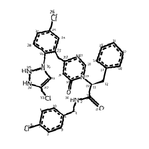 O=C(NCc1ccc(Cl)cc1)[C@H](Cc1ccccc1)n1cnc(-c2cc(Cl)ccc2N2C=C(Cl)NN2)cc1=O